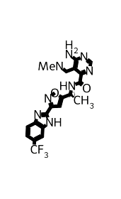 CNCc1c(N)ncnc1C(=O)N[C@@H](C)c1cc(-c2nc3ccc(C(F)(F)F)cc3[nH]2)no1